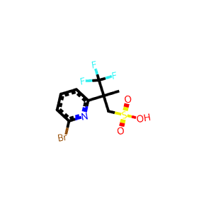 CC(CS(=O)(=O)O)(c1cccc(Br)n1)C(F)(F)F